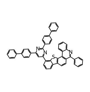 c1ccc(-c2ccc(-c3cc(-c4cccc5c4sc4c5ccc5c(-c6ccccc6)nc6ccccc6c54)nc(-c4ccc(-c5ccccc5)cc4)n3)cc2)cc1